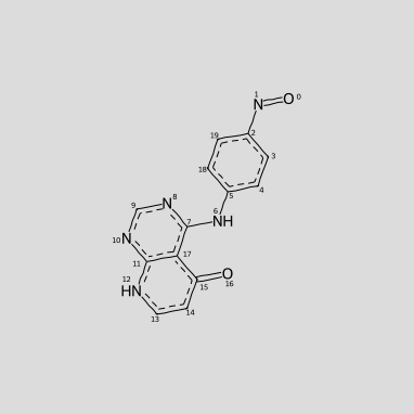 O=Nc1ccc(Nc2ncnc3[nH]ccc(=O)c23)cc1